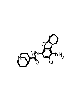 Nc1c(Cl)cc(NC(=O)C2CCN3CCCC2C3)c2c1C1CCCCC1O2